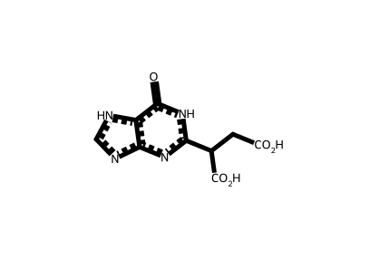 O=C(O)CC(C(=O)O)c1nc2nc[nH]c2c(=O)[nH]1